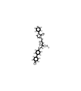 CC(C)(CCCN1CCN(c2ccncc2)C1=O)COc1ccc(-c2ccc(Cl)cc2)cc1